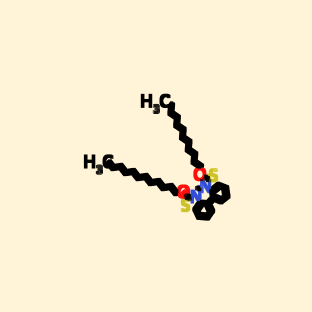 CCCCCCCCCCCCOC(=S)N1CN(C(=S)OCCCCCCCCCCCC)c2ccccc2-c2ccccc21